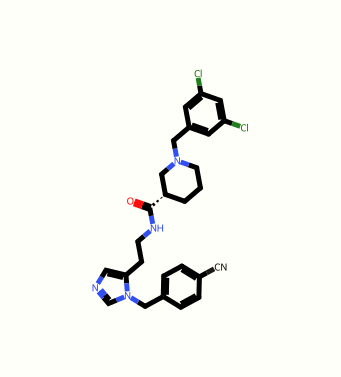 N#Cc1ccc(Cn2cncc2CCNC(=O)[C@H]2CCCN(Cc3cc(Cl)cc(Cl)c3)C2)cc1